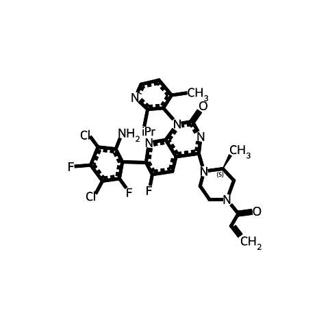 C=CC(=O)N1CCN(c2nc(=O)n(-c3c(C)ccnc3C(C)C)c3nc(-c4c(N)c(Cl)c(F)c(Cl)c4F)c(F)cc23)[C@@H](C)C1